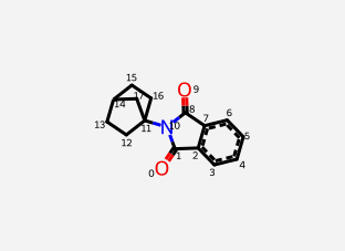 O=C1c2ccccc2C(=O)N1C12CCC(CC1)C2